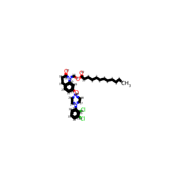 CCCCCCCCCCCC(=O)OCN1C(=O)CCc2ccc(ON3CCN(c4cccc(Cl)c4Cl)CC3)cc21